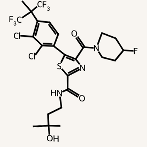 CC(C)(O)CCNC(=O)c1nc(C(=O)N2CCC(F)CC2)c(-c2ccc(C(C)(C(F)(F)F)C(F)(F)F)c(Cl)c2Cl)s1